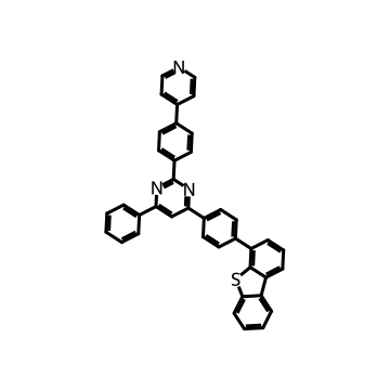 c1ccc(-c2cc(-c3ccc(-c4cccc5c4sc4ccccc45)cc3)nc(-c3ccc(-c4ccncc4)cc3)n2)cc1